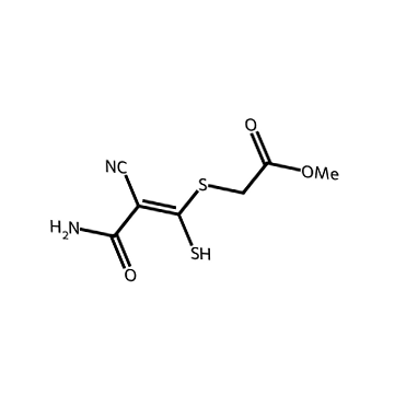 COC(=O)CS/C(S)=C(\C#N)C(N)=O